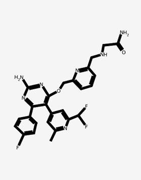 Cc1cc(-c2c(OCc3cccc(CNCC(N)=O)n3)nc(N)nc2-c2ccc(F)cc2)cc(C(F)F)n1